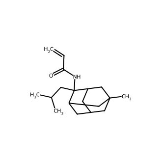 C=CC(=O)NC1(CC(C)C)C2CC3CC1CC(C)(C3)C2